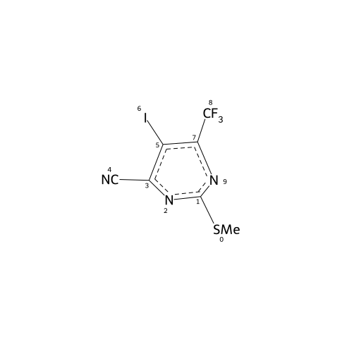 CSc1nc(C#N)c(I)c(C(F)(F)F)n1